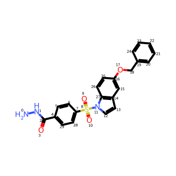 NNC(=O)c1ccc(S(=O)(=O)n2ccc3cc(OCc4ccccc4)ccc32)cc1